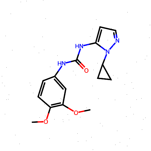 COc1ccc(NC(=O)Nc2ccnn2C2CC2)cc1OC